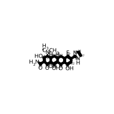 CN(C)[C@@H]1C(O)=C(C(N)=O)C(=O)[C@@]2(O)C(O)=C3C(=O)c4c(O)cc(-c5ncc[nH]5)c(F)c4C[C@H]3C[C@@H]12